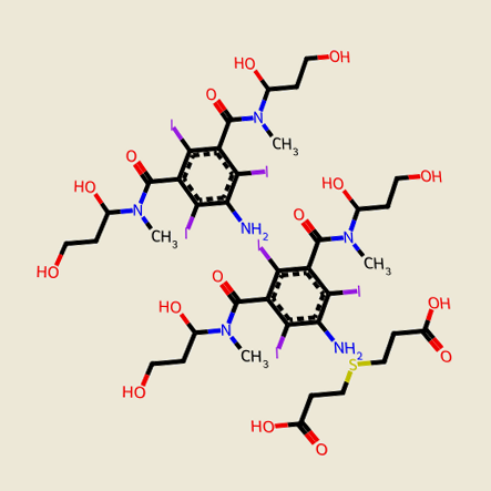 CN(C(=O)c1c(I)c(N)c(I)c(C(=O)N(C)C(O)CCO)c1I)C(O)CCO.CN(C(=O)c1c(I)c(N)c(I)c(C(=O)N(C)C(O)CCO)c1I)C(O)CCO.O=C(O)CCSCCC(=O)O